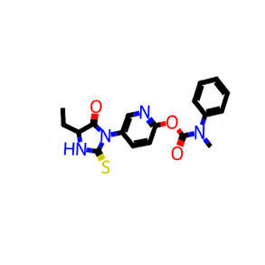 CCC1NC(=S)N(c2ccc(OC(=O)N(C)c3ccccc3)nc2)C1=O